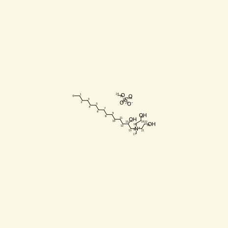 CCCCCCCCCCCCCC(O)C[N+](C)(CCO)CCO.COS(=O)(=O)[O-]